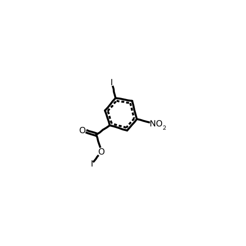 O=C(OI)c1cc(I)cc([N+](=O)[O-])c1